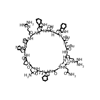 CCCC[C@H]1C(=O)N(C)[C@@H](CCCC)C(=O)N[C@@H](CCCNC(=N)N)C(=O)N[C@H](C(=O)NCC(N)=O)CSCC(=O)N[C@@H](Cc2ccccc2)C(=O)N(C)[C@@H](C)C(=O)N[C@@H](CC(N)=O)C(=O)N2CCC[C@H]2C(=O)N[C@@H](Cc2cnc[nH]2)C(=O)N[C@@H](CC(C)C)C(=O)N[C@@H](CCCNC(=N)N)C(=O)N[C@@H](Cc2c[nH]c3ccccc23)C(=O)N[C@@H](CO)C(=O)N[C@@H](Cc2c[nH]c3ccccc23)C(=O)N1C